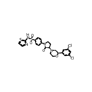 O=C1C(N2CCOC(c3cc(Cl)cc(Cl)c3)C2)CCN1c1ccc(S(=O)(=O)Nc2nccs2)cc1